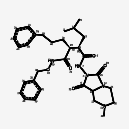 CC(C)C[C@@H](C(=O)NN1C(=O)C2CN(C)CCN2C1=O)[C@H](CCCc1ccccc1)C(=O)NOCc1ccccc1